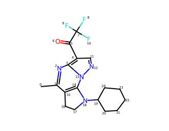 Cc1nc2c(C(=O)C(F)(F)F)cnn2c2c1CCN2C1CCCCC1